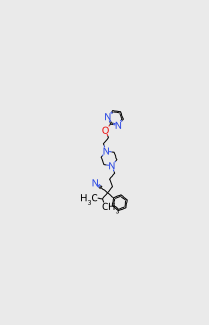 CC(C)C(C#N)(CCCN1CCN(CCOc2ncccn2)CC1)c1ccccc1